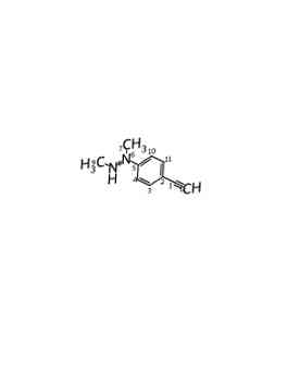 C#Cc1ccc(N(C)NC)cc1